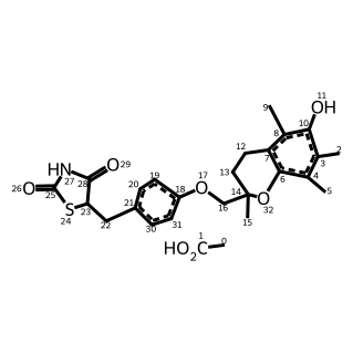 CC(=O)O.Cc1c(C)c2c(c(C)c1O)CCC(C)(COc1ccc(CC3SC(=O)NC3=O)cc1)O2